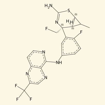 CC1[C@@H]2[C@H]1SC(N)=N[C@]2(CF)c1cc(Nc2nccc3nc(C(F)(F)F)cnc23)ccc1F